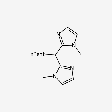 CCCCCC(c1nccn1C)c1nccn1C